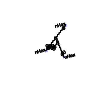 CCCCCC/C=C\COCCCCCCCCCN(CCCCCCCCC(=O)OC/C=C\CCCCCC)CCCN(CCCCCCCCC(=O)OC/C=C\CCCCCC)CCCOP(=O)(OCC)OCC